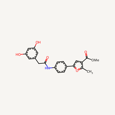 COC(=O)c1cc(-c2ccc(NC(=O)Cc3cc(O)cc(O)c3)cc2)oc1C